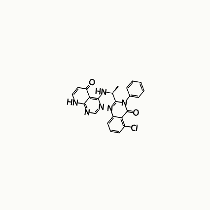 C[C@H](Nc1ncnc2[nH]ccc(=O)c12)c1nc2cccc(Cl)c2c(=O)n1-c1ccccc1